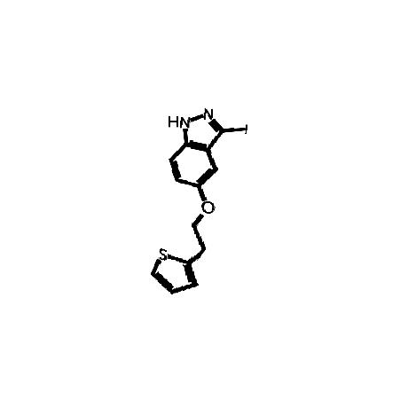 Ic1n[nH]c2ccc(OCCc3cccs3)cc12